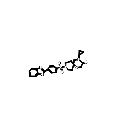 O=C1COC2(CCN(S(=O)(=O)c3ccc(-c4nc5ccccc5o4)cc3)CC2)CN1C1CC1